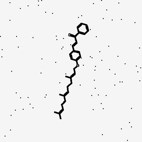 CC(C)=CCC/C(C)=C/CC/C(C)=C/COc1ccc(/C=C/C(=O)c2ccccc2)cc1